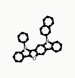 c1ccc(-n2c3ccccc3c3oc4cc5c6ccccc6n(-c6ccc7ccccc7c6)c5cc4c32)cc1